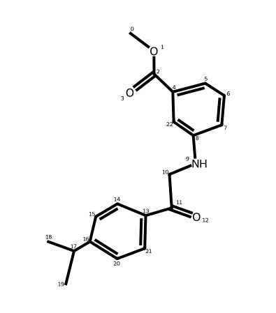 COC(=O)c1cccc(NCC(=O)c2ccc(C(C)C)cc2)c1